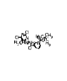 Cc1c(Cl)nc(Cl)nc1NNC(=O)[C@H]1CCCN(C(=O)OC(C)(C)C)C1